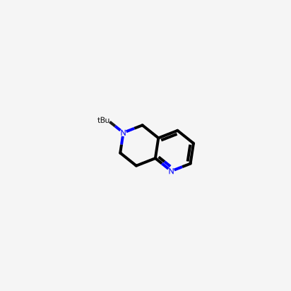 CC(C)(C)N1CCc2ncccc2C1